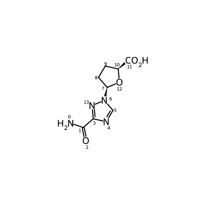 NC(=O)c1ncn([C@H]2CC[C@@H](C(=O)O)O2)n1